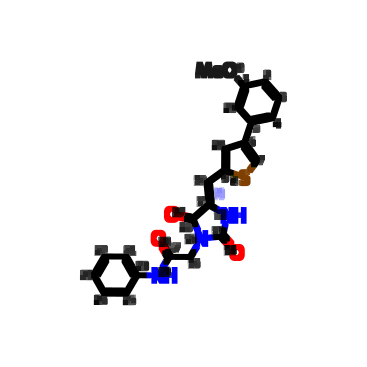 COc1cccc(-c2csc(/C=C3\NC(=O)N(CC(=O)Nc4ccccc4)C3=O)c2)c1